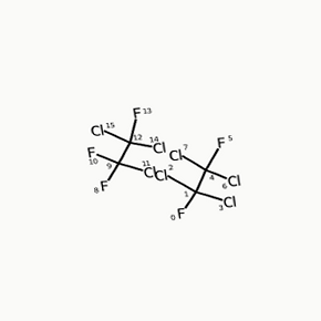 FC(Cl)(Cl)C(F)(Cl)Cl.FC(F)(Cl)C(F)(Cl)Cl